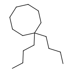 CCCCC1(CCCC)CCCCCCC1